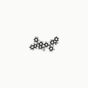 CC1(C)c2ccccc2-c2ccc(N(c3ccccc3)c3ccc4c(c3)Nc3cccc5c(N(c6ccccc6)c6ccc7ccccc7c6)ccc-4c35)cc21